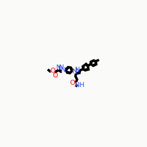 CCOC(=O)c1cn(-c2ccc(-n3nc(-c4ccc(-c5ccc(C)cc5)cc4)cc3CCC(=O)NC)cc2)nn1